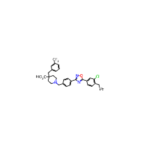 CC(C)Cc1ccc(-c2nc(-c3ccc(CN4CCC(Cc5cccc(C(F)(F)F)c5)(C(=O)O)CC4)cc3)no2)cc1Cl